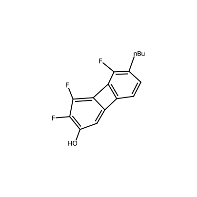 CCCCc1ccc2c(c1F)-c1c-2cc(O)c(F)c1F